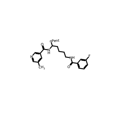 CCCCCC(CCCCNC(=O)c1cccc(F)c1)NC(=O)c1cncc(C)c1